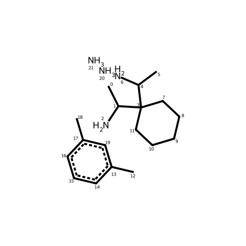 CC(N)C1(C(C)N)CCCCC1.Cc1cccc(C)c1.N.N